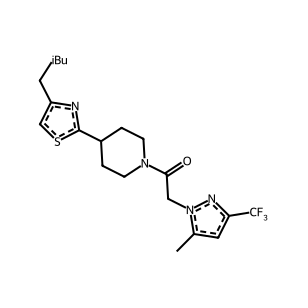 CCC(C)Cc1csc(C2CCN(C(=O)Cn3nc(C(F)(F)F)cc3C)CC2)n1